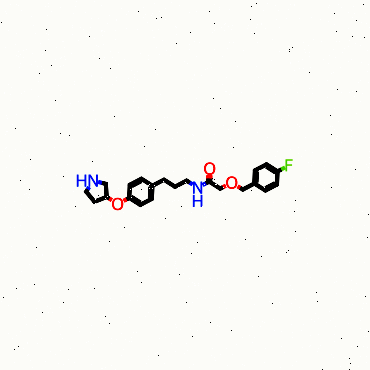 O=C(COCc1ccc(F)cc1)NCCCc1ccc(OC2CCNC2)cc1